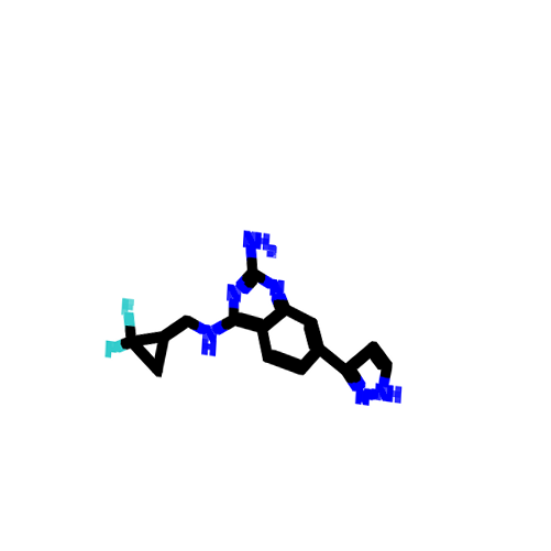 Nc1nc(NCC2CC2(F)F)c2ccc(-c3cc[nH]n3)cc2n1